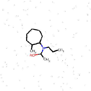 CCCN(C(C)O)C1CCCCCC1C